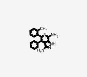 Cc1ccccc1-c1nc(N)c2[nH]nc(N)c2c1-c1ccccc1